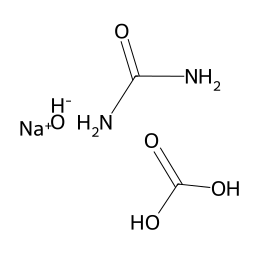 NC(N)=O.O=C(O)O.[Na+].[OH-]